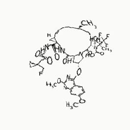 COc1ccc2c(O[C@@H]3C[C@H]4C(=O)N[C@]5(C(=O)NS(=O)(=O)C6(CF)CC6)C[C@H]5C=CCC[C@@H](C)C[C@@H](C)[C@H](N(C(=O)O)C(C)(C)C(F)(F)F)C(=O)N4C3)nc(OC)nc2c1